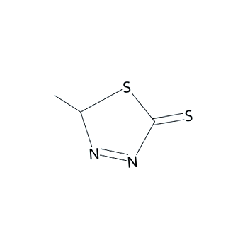 CC1N=NC(=S)S1